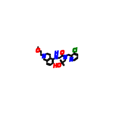 COCCN1CCc2c(cccc2NCC(=O)N(Cc2ncccc2Cl)CC(C)(C)O)C1